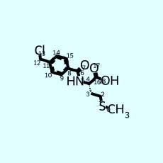 CSCC[C@H](NC(=O)c1ccc(CCl)cc1)C(=O)O